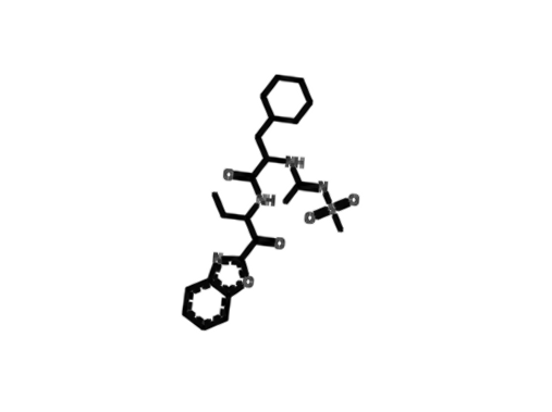 CCC(NC(=O)C(CC1CCCCC1)N/C(C)=N/S(C)(=O)=O)C(=O)c1nc2ccccc2o1